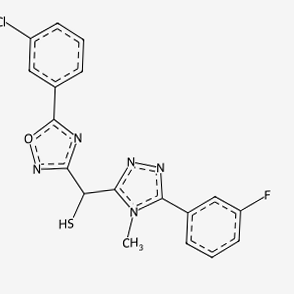 Cn1c(-c2cccc(F)c2)nnc1C(S)c1noc(-c2cccc(Cl)c2)n1